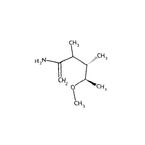 C=C(N)C(C)[C@H](C)[C@@H](C)OC